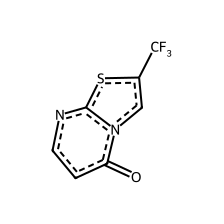 O=c1ccnc2sc(C(F)(F)F)cn12